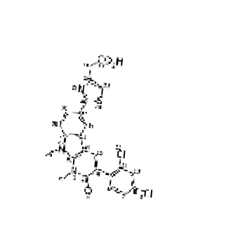 Cn1c(=O)c(-c2ccc(Cl)cc2Cl)cc2c3cc(-c4nc(CC(=O)O)cs4)ccc3n(C)c21